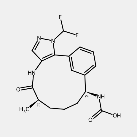 C[C@@H]1CCC[C@H](NC(=O)O)c2cccc(c2)-c2c(cnn2C(F)F)NC1=O